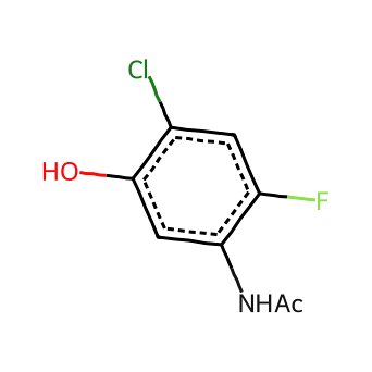 CC(=O)Nc1cc(O)c(Cl)cc1F